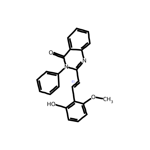 COc1cccc(O)c1/C=C/c1nc2ccccc2c(=O)n1-c1ccccc1